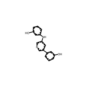 Oc1cccc(Nc2cncc(-c3cccc(O)c3)c2)c1